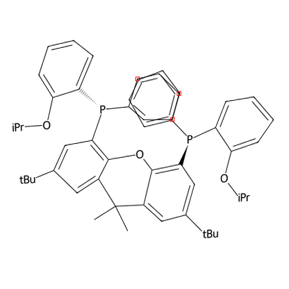 CC(C)Oc1ccccc1[P@](c1ccccc1)c1cc(C(C)(C)C)cc2c1Oc1c([P@@](c3ccccc3)c3ccccc3OC(C)C)cc(C(C)(C)C)cc1C2(C)C